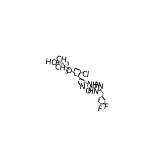 CC(C)(O)CCCOc1ccc(Cl)c(-c2ccnc(NC(=O)c3nnc(Cc4ccc(F)c(F)c4)[nH]3)c2)c1